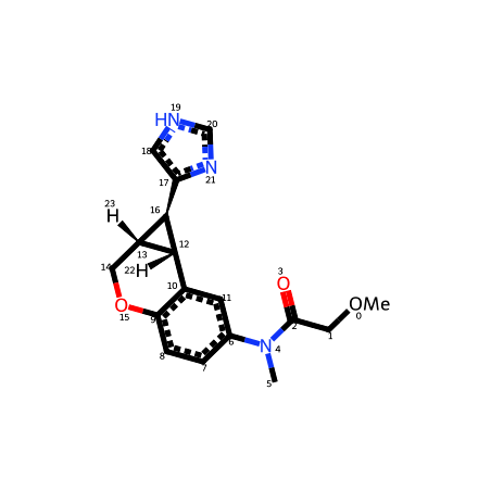 COCC(=O)N(C)c1ccc2c(c1)[C@@H]1[C@H](CO2)[C@H]1c1c[nH]cn1